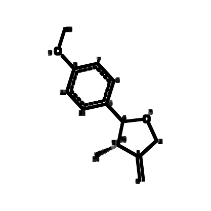 C=C1COC(c2ccc(OC)cc2)[C@H]1C